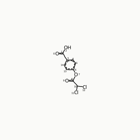 O=C(O)c1ccc(OC(=O)C(Cl)Cl)cc1